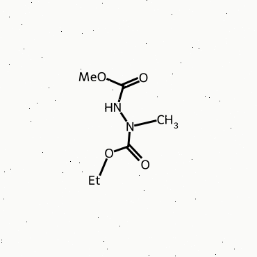 CCOC(=O)N(C)NC(=O)OC